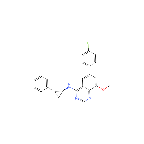 COc1cc(-c2ccc(F)cc2)cc2c(N[C@H]3C[C@@H]3c3ccccc3)ncnc12